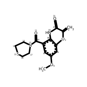 C=C1Oc2cc(OC)cc(C(=O)N3CCSCC3)c2NC1=O